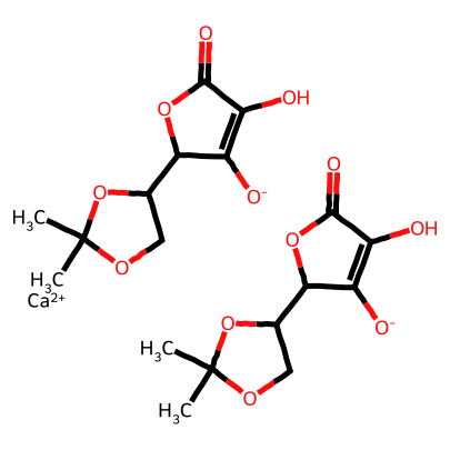 CC1(C)OCC(C2OC(=O)C(O)=C2[O-])O1.CC1(C)OCC(C2OC(=O)C(O)=C2[O-])O1.[Ca+2]